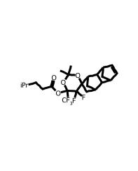 CC(C)CCC(=O)OC1(C(F)(F)F)OC(C)(C)OC2(CC3CC2C2C4C=CC(C4)C32)C1(F)F